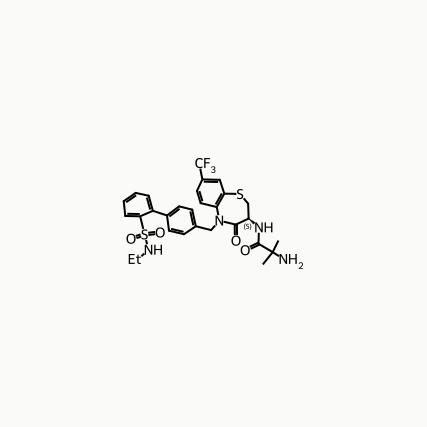 CCNS(=O)(=O)c1ccccc1-c1ccc(CN2C(=O)[C@H](NC(=O)C(C)(C)N)CSc3cc(C(F)(F)F)ccc32)cc1